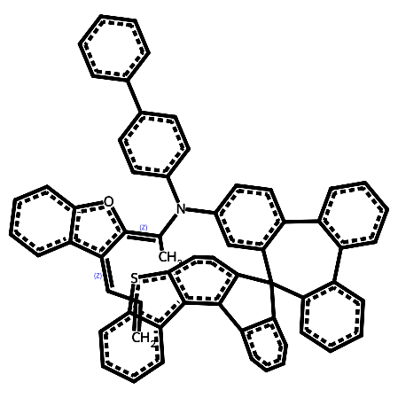 C=C/C=c1\c(=C(/C)N(c2ccc(-c3ccccc3)cc2)c2ccc3c(c2)C2(c4ccccc4-c4ccccc4-3)c3ccccc3-c3c2ccc2sc4ccccc4c32)oc2ccccc12